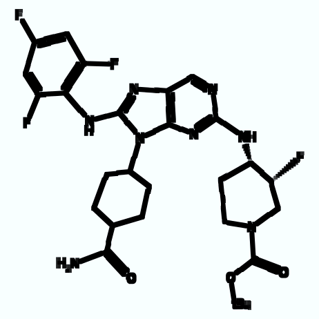 CC(C)(C)OC(=O)N1CC[C@H](Nc2ncc3nc(Nc4c(F)cc(F)cc4F)n(C4CCC(C(N)=O)CC4)c3n2)[C@H](F)C1